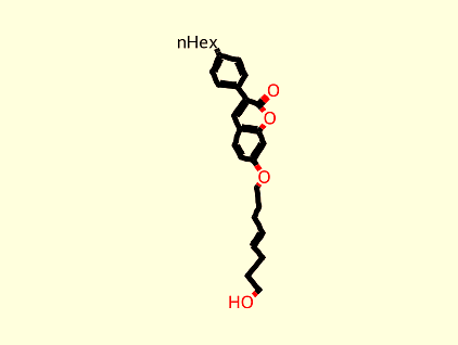 CCCCCCc1ccc(-c2cc3ccc(OCCC/C=C/CCCO)cc3oc2=O)cc1